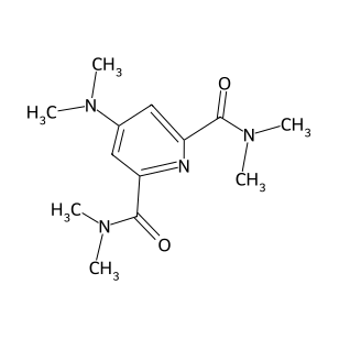 CN(C)C(=O)c1cc(N(C)C)cc(C(=O)N(C)C)n1